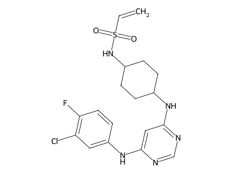 C=CS(=O)(=O)NC1CCC(Nc2cc(Nc3ccc(F)c(Cl)c3)ncn2)CC1